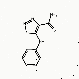 NC(=S)c1nnsc1Nc1ccccc1